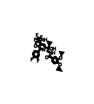 NC1(C(F)(F)F)COc2c1cc(C(O)(CNC(=O)c1ccc(OC3CC3)c(OC3CC3)c1)C1CC1)nc2-c1ccc(F)c(F)c1